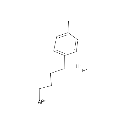 Cc1ccc(CCC[CH2][Al+2])cc1.[H-].[H-]